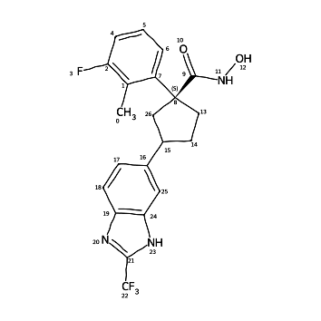 Cc1c(F)cccc1[C@]1(C(=O)NO)CCC(c2ccc3nc(C(F)(F)F)[nH]c3c2)C1